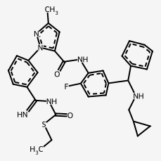 CCSC(=O)NC(=N)c1cccc(-n2nc(C)cc2C(=O)Nc2cc(C(NCC3CC3)c3ccccc3)ccc2F)c1